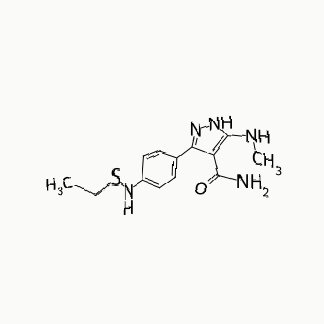 CCSNc1ccc(-c2n[nH]c(NC)c2C(N)=O)cc1